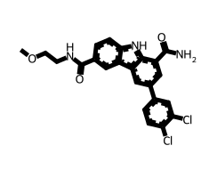 COCCNC(=O)c1ccc2[nH]c3c(C(N)=O)cc(-c4ccc(Cl)c(Cl)c4)cc3c2c1